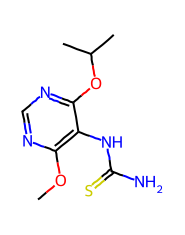 COc1ncnc(OC(C)C)c1NC(N)=S